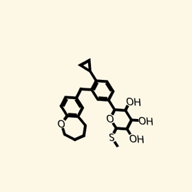 CSC1OC(c2ccc(C3CC3)c(Cc3ccc4c(c3)CCCCO4)c2)C(O)C(O)C1O